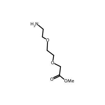 COC(=O)COCCOCCN